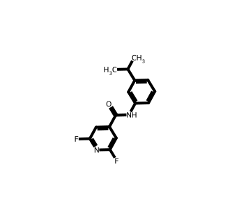 CC(C)c1cccc(NC(=O)c2cc(F)nc(F)c2)c1